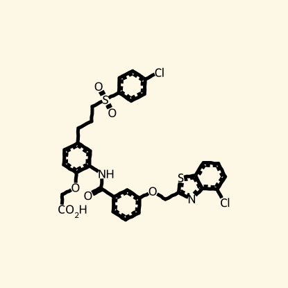 O=C(O)COc1ccc(CCCS(=O)(=O)c2ccc(Cl)cc2)cc1NC(=O)c1cccc(OCc2nc3c(Cl)cccc3s2)c1